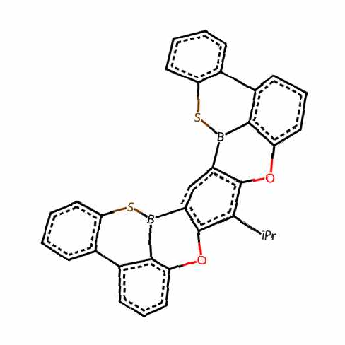 CC(C)c1c2c(cc3c1Oc1cccc4c1B3Sc1ccccc1-4)B1Sc3ccccc3-c3cccc(c31)O2